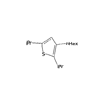 CCCCCCc1cc(C(C)C)sc1C(C)C